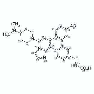 CN(C)C1CCN(c2nc(-c3ccc(C#N)cc3)c(-c3ccc(CNC(=O)O)cc3)c3nccn23)CC1